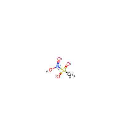 CS(=O)(=O)[N+](=O)[O-]